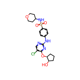 O=S(=O)(NC1CCOCC1)c1ccc(Nc2ncc(Cl)c(O[C@H]3CCC[C@H]3O)n2)cc1